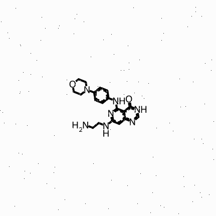 NCCNc1cc2nc[nH]c(=O)c2c(Nc2ccc(N3CCOCC3)cc2)n1